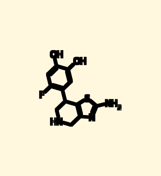 Nc1nc2c(s1)C(c1cc(O)c(O)cc1F)CNC2